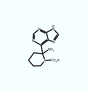 NC1(c2ncnc3[nH]cnc23)CCCCN1C(=O)O